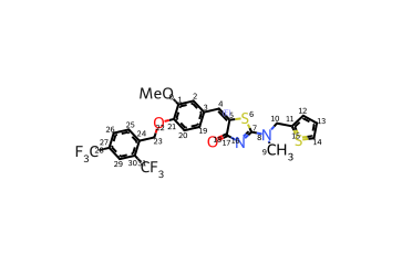 COc1cc(/C=C2/SC(N(C)Cc3cccs3)=NC2=O)ccc1OCc1ccc(C(F)(F)F)cc1C(F)(F)F